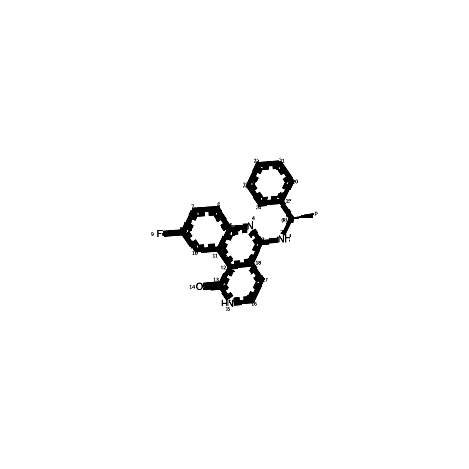 C[C@@H](Nc1nc2ccc(F)cc2c2c(=O)[nH]ccc12)c1ccccc1